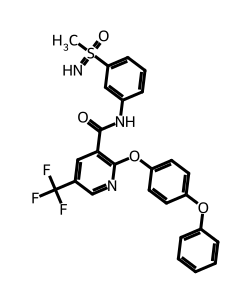 CS(=N)(=O)c1cccc(NC(=O)c2cc(C(F)(F)F)cnc2Oc2ccc(Oc3ccccc3)cc2)c1